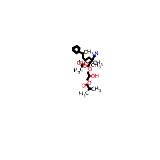 C=C(C)C(=O)OCC(O)COC(=O)C(C)(C)C(C)(C#N)CC(CC(C)c1ccccc1)OC(C)=O